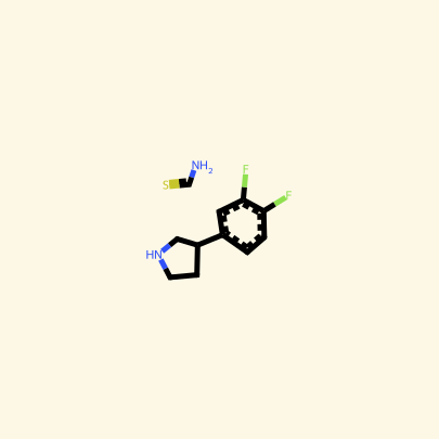 Fc1ccc(C2CCNC2)cc1F.NC=S